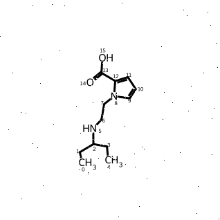 CCC(CC)NCCn1cccc1C(=O)O